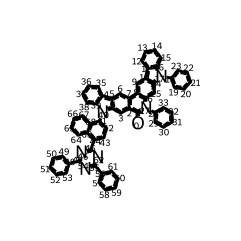 O=c1c2cc3c(cc2c2cc4c5ccccc5n(-c5ccccc5)c4cc2n1-c1ccccc1)c1ccccc1n3-c1ccc(-c2nc(-c3ccccc3)nc(-c3ccccc3)n2)c2ccccc12